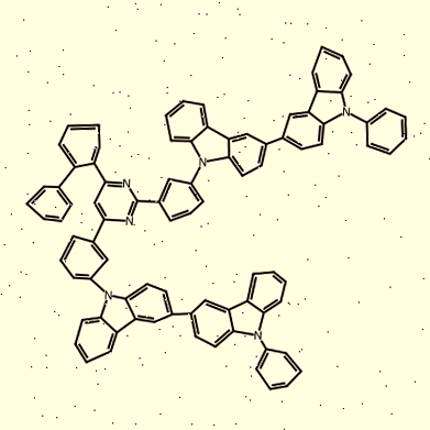 c1ccc(-c2ccccc2-c2cc(-c3cccc(-n4c5ccccc5c5cc(-c6ccc7c(c6)c6ccccc6n7-c6ccccc6)ccc54)c3)nc(-c3cccc(-n4c5ccccc5c5cc(-c6ccc7c(c6)c6ccccc6n7-c6ccccc6)ccc54)c3)n2)cc1